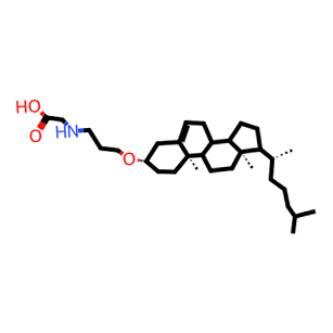 CC(C)CCC[C@@H](C)C1CCC2C3CC=C4C[C@@H](OCCCNCC(=O)O)CC[C@]4(C)C3CC[C@@]21C